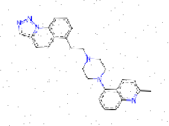 Cc1ccc2c(N3CCN(CCc4cccc5c4ccc4cnnn45)CC3)cccc2n1